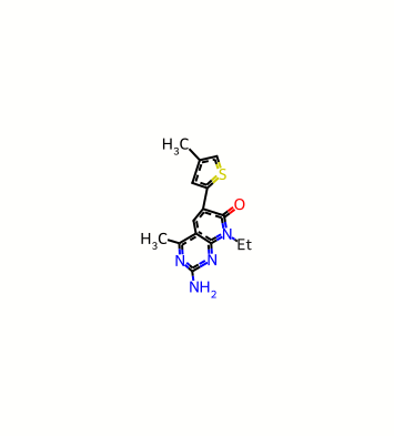 CCn1c(=O)c(-c2cc(C)cs2)cc2c(C)nc(N)nc21